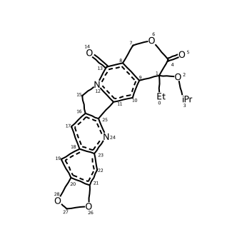 CCC1(OC(C)C)C(=O)OCc2c1cc1n(c2=O)Cc2cc3cc4c(cc3nc2-1)OCO4